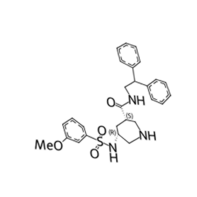 COc1cccc(S(=O)(=O)N[C@H]2CNC[C@@H](C(=O)NCC(c3ccccc3)c3ccccc3)C2)c1